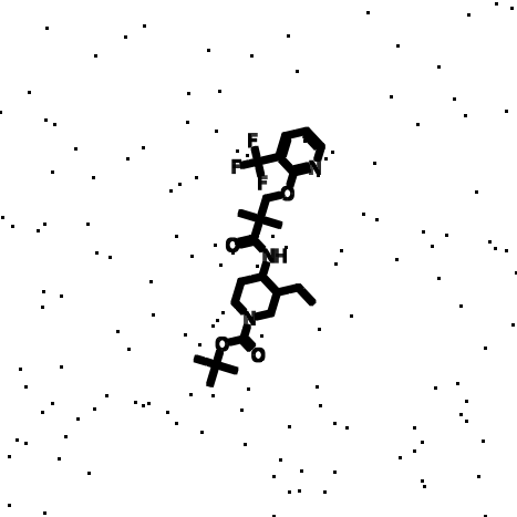 CCC1CN(C(=O)OC(C)(C)C)CCC1NC(=O)C(C)(C)COc1ncccc1C(F)(F)F